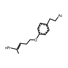 CCC/C(C)=C/CCOc1ccc(CCC(C)=O)cc1